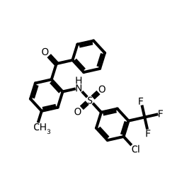 Cc1ccc(C(=O)c2ccccc2)c(NS(=O)(=O)c2ccc(Cl)c(C(F)(F)F)c2)c1